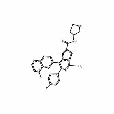 Cc1ccnc2ccc(-c3c(-c4ccc(F)cc4)nc(N)c4nc(C(=O)NC5CCNC5)cn34)cc12